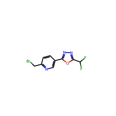 FC(F)c1nnc(-c2ccc(CBr)nc2)o1